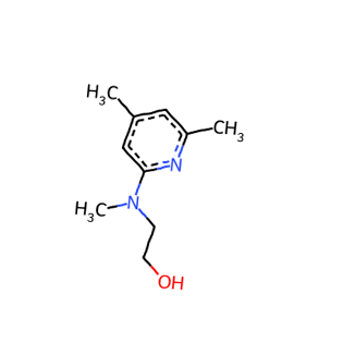 Cc1cc(C)nc(N(C)CCO)c1